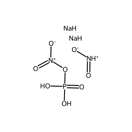 O=[N+]([O-])OP(=O)(O)O.O=[NH+][O-].[NaH].[NaH]